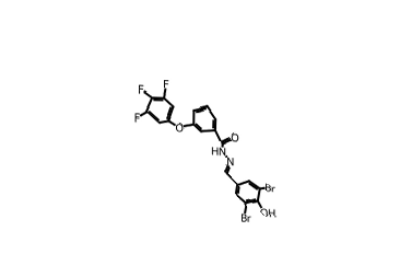 O=C(NN=Cc1cc(Br)c(O)c(Br)c1)c1cccc(Oc2cc(F)c(F)c(F)c2)c1